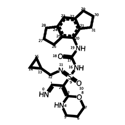 N=C/C(=C1\NCCCO1)S(=O)(=NCC1CC1)NC(=O)Nc1c2c(cc3c1CCC3)CCC2